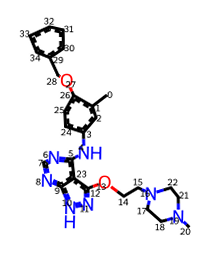 Cc1cc(Nc2ncnc3[nH]nc(OCCN4CCN(C)CC4)c23)ccc1OCc1ccccc1